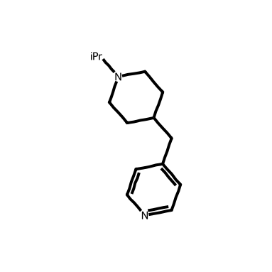 CC(C)N1CCC(Cc2ccncc2)CC1